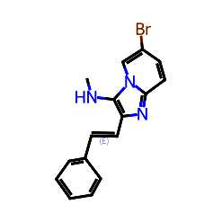 CNc1c(/C=C/c2ccccc2)nc2ccc(Br)cn12